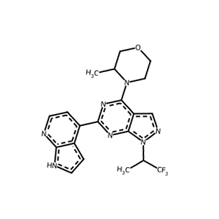 CC1COCCN1c1nc(-c2ccnc3[nH]ccc23)nc2c1cnn2C(C)C(F)(F)F